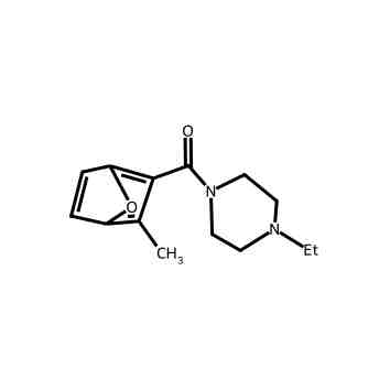 CCN1CCN(C(=O)c2c(C)c3ccc2o3)CC1